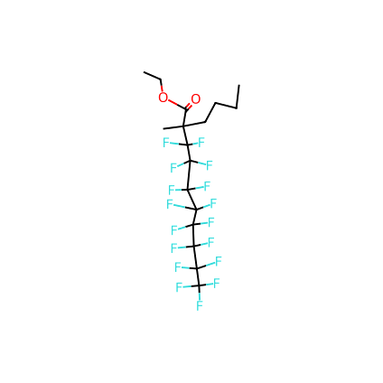 CCCCC(C)(C(=O)OCC)C(F)(F)C(F)(F)C(F)(F)C(F)(F)C(F)(F)C(F)(F)C(F)(F)C(F)(F)F